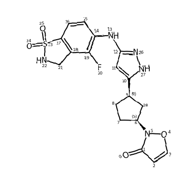 O=c1ccon1[C@H]1CC[C@@H](c2cc(Nc3ccc4c(c3F)CNS4(=O)=O)n[nH]2)C1